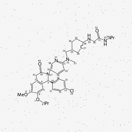 COc1cc2c(cc1OC(C)C)[C@H](c1ccc(Cl)cc1)N(c1ccc(N(C)CC3CCC(NCC(=O)NC(C)C)CC3)nc1)C(=O)C2